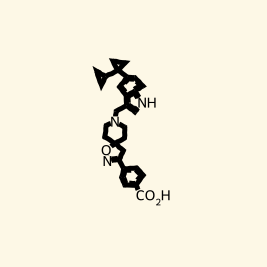 O=C(O)c1ccc(C2=NOC3(CCN(Cc4c[nH]c5ccc(C6(C7CC7)CC6)cc45)CC3)C2)cc1